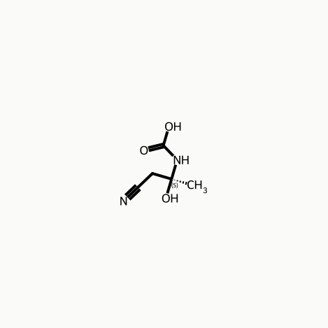 C[C@](O)(CC#N)NC(=O)O